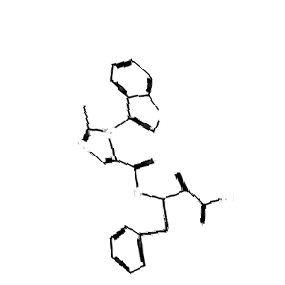 Cc1ncc(C(=O)NC(Cc2ccccc2)C(=O)C(N)=O)n1-c1csc2ccccc12